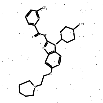 O=C(Nc1nc2cc(OCCN3CCCCC3)ccc2n1C1CCC(O)CC1)c1cccc(C(F)(F)F)c1